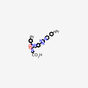 CCC[C@H]1CC[C@H](C2CCN(c3cnc(-c4ccc(C[C@H](NC(=O)c5ccc(C(C)C)cc5)C(=O)N5CC(C(=O)O)C5)cc4)nc3)CC2)CC1